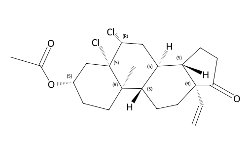 C=C[C@]12CC[C@H]3[C@@H](C[C@@H](Cl)[C@]4(Cl)C[C@@H](OC(C)=O)CC[C@]34C)[C@@H]1CCC2=O